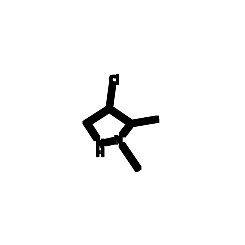 CC1C(Cl)CNN1C